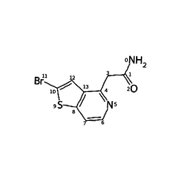 NC(=O)Cc1nccc2sc(Br)cc12